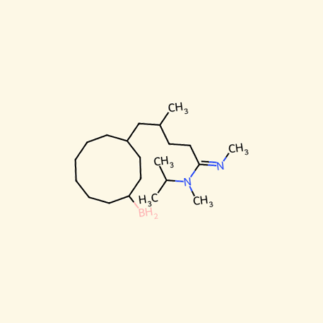 BC1CCCCCCC(CC(C)CC/C(=N\C)N(C)C(C)C)CC1